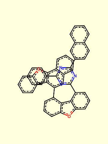 c1ccc(-c2nc(-c3ccc4ccccc4c3)nc(-c3cccc4oc5cccc(-c6cc7ccccc7c7oc8ccccc8c67)c5c34)n2)cc1